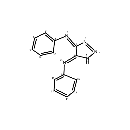 c1ccc(N=C2N=NNC2=Nc2ccccc2)cc1